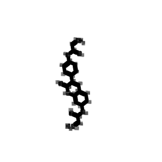 C=CC(=O)Oc1ccc(-c2cc3c(oc2=O)=CC(OC(=O)C=C)CC=3)cc1